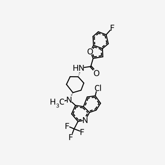 CN(c1cc(C(F)(F)F)nc2ccc(Cl)cc12)[C@H]1CC[C@@H](NC(=O)c2cc3cc(F)ccc3o2)CC1